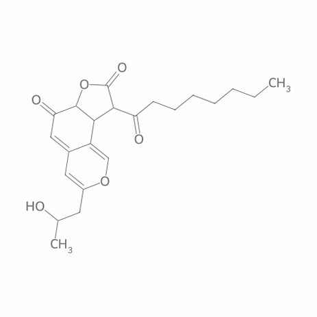 CCCCCCCC(=O)C1C(=O)OC2C(=O)C=C3C=C(CC(C)O)OC=C3C21